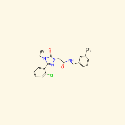 CC(C)Cn1c(-c2ccccc2Cl)nn(CC(=O)NCc2cccc(C(F)(F)F)c2)c1=O